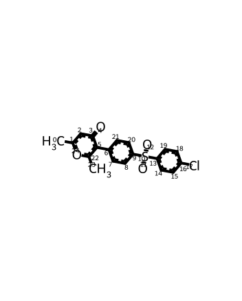 Cc1cc(=O)c(-c2ccc(S(=O)(=O)c3ccc(Cl)cc3)cc2)c(C)o1